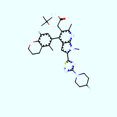 Cc1nc2c(cc(-c3nc(N4CCC(F)CC4)ns3)n2C)c(-c2cc(F)c3c(c2C)CCCO3)c1[C@H](OC(C)(C)C)C(=O)O